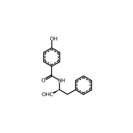 O=[C][C@H](Cc1ccccc1)NC(=O)c1ccc(O)cc1